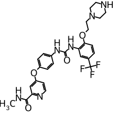 CNC(=O)c1cc(Oc2ccc(NC(=O)Nc3cc(C(F)(F)F)ccc3OCCN3CCNCC3)cc2)ccn1